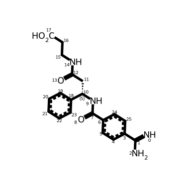 N=C(N)c1ccc(C(=O)N[C@@H](CC(=O)NCCC(=O)O)c2ccccc2)cc1